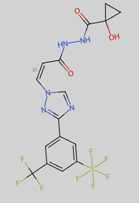 O=C(/C=C\n1cnc(-c2cc(C(F)(F)F)cc(S(F)(F)(F)(F)F)c2)n1)NNC(=O)C1(O)CC1